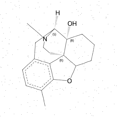 Cc1ccc2c3c1OC1CCC[C@]4(O)[C@H](C2)N(C)CC[C@@]314